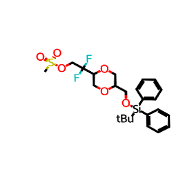 CC(C)(C)[Si](OCC1COC(C(F)(F)COS(C)(=O)=O)CO1)(c1ccccc1)c1ccccc1